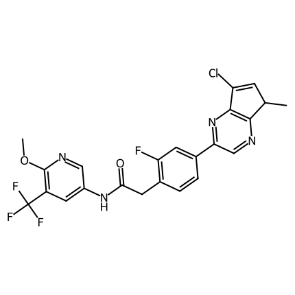 COc1ncc(NC(=O)Cc2ccc(-c3cnc4c(n3)C(Cl)=CC4C)cc2F)cc1C(F)(F)F